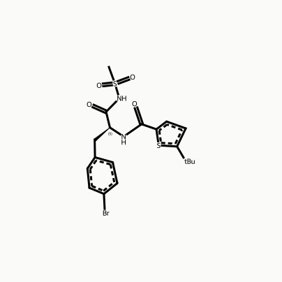 CC(C)(C)c1ccc(C(=O)N[C@@H](Cc2ccc(Br)cc2)C(=O)NS(C)(=O)=O)s1